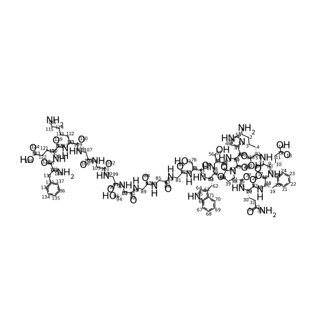 NCCCC[C@H](NC(=O)[C@H](CCC(=O)O)NC(=O)[C@H](Cc1ccccc1)NC(=O)[C@H](CCC(N)=O)NC(=O)[C@@H]1CCCN1C(=O)[C@H](Cc1c[nH]cn1)NC(=O)[C@H](CO)NC(=O)[C@H](Cc1c[nH]c2ccccc12)NC(=O)[C@H](CO)NC(=O)CNC(=O)CNC(=O)CNC(=O)[C@H](CO)NC(=O)CNC(=O)CNC(=O)CNC(=O)[C@H](CCCCN)NC(=O)[C@H](CCC(=O)O)NC(=O)[C@@H](N)Cc1ccccc1)C(=O)O